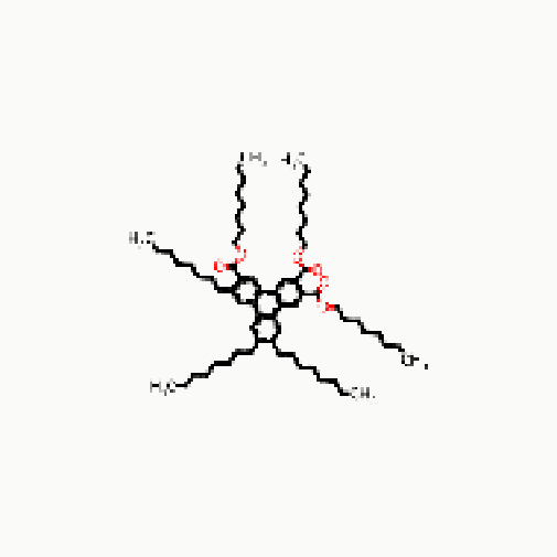 CCCCCCCCOC(=O)c1cc2c(cc1CCCCCCCC)c1cc(CCCCCCCC)c(CCCCCCCC)cc1c1cc(C(=O)OCCCCCCCC)c(C(=O)OCCCCCCCC)cc21